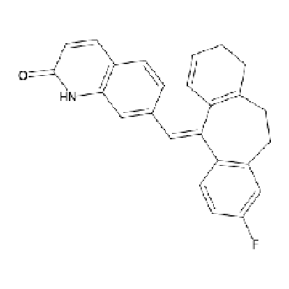 O=c1ccc2ccc(/C=C3\C4=C(CCC=C4)CCc4cc(F)ccc43)cc2[nH]1